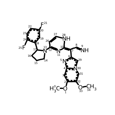 COc1cc2nc(/C(C=N)=C3\N=C(N4CCCC4c4cc(F)ccc4F)C=CN3)cn2cc1OC